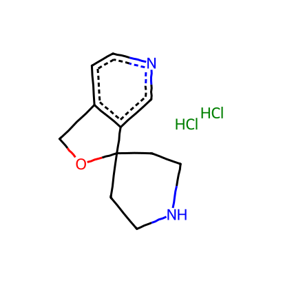 Cl.Cl.c1cc2c(cn1)C1(CCNCC1)OC2